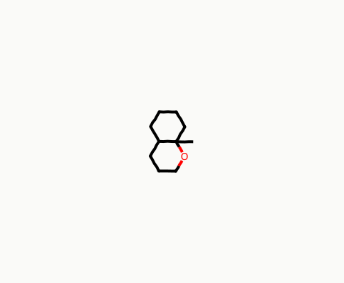 CC12CCCCC1CCCO2